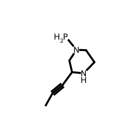 CC#CC1CN(P)CCN1